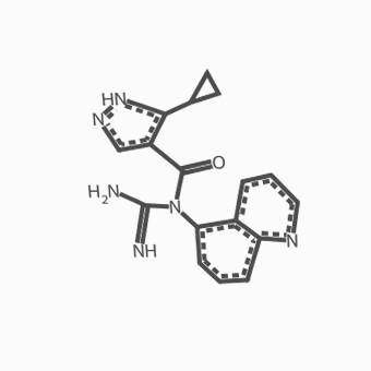 N=C(N)N(C(=O)c1cn[nH]c1C1CC1)c1cccc2ncccc12